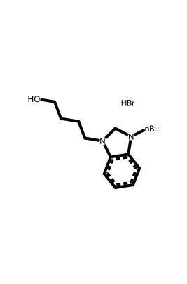 Br.CCCCN1CN(CCCCO)c2ccccc21